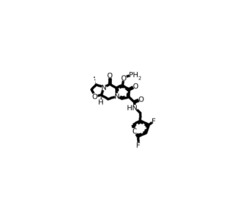 C[C@H]1CO[C@@H]2Cn3cc(C(=O)NCc4ccc(F)cc4F)c(=O)c(OP)c3C(=O)N12